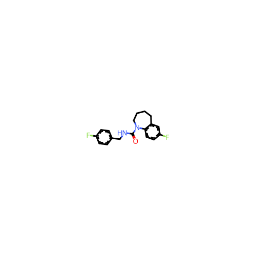 O=C(NCc1ccc(F)cc1)N1CCCCc2cc(F)ccc21